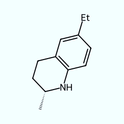 CCc1ccc2c(c1)CC[C@@H](C)N2